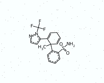 CC1(c2ccccc2S(N)(=O)=O)C=C[CH]C=C1c1ccnn1C(F)(F)F